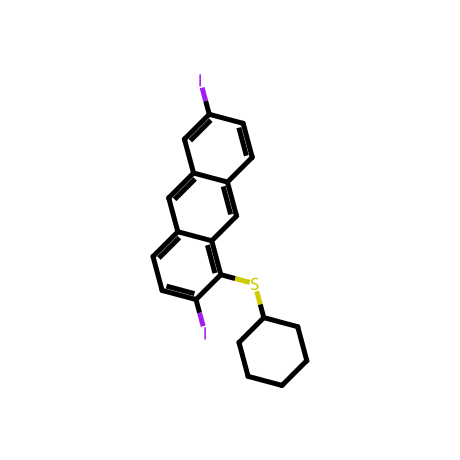 Ic1ccc2cc3c(SC4CCCCC4)c(I)ccc3cc2c1